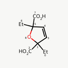 CCC1(C(=O)O)C=CC(CC)(C(=O)O)O1